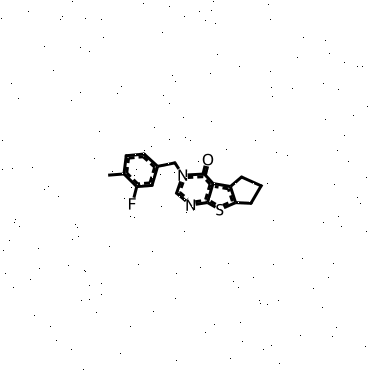 Cc1ccc(Cn2cnc3sc4c(c3c2=O)CCC4)cc1F